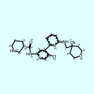 N#CC1(CNc2cccc(-c3cc(NC(=O)[C@@H]4CCCNC4)ncc3Cl)n2)CCOCC1